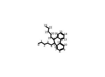 CCCCCC1c2ccccc2-c2ccccc2C1CCCCC